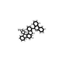 CCC1(CC)c2ccccc2-c2ccc3c(c21)-c1cccc(-c2nc4ccccc4c4ccccc24)c1C3